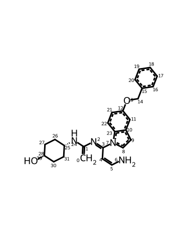 C=C(/N=C(\C=C/N)n1ccc2cc(OCc3ccccc3)ccc21)N[C@H]1CC[C@H](O)CC1